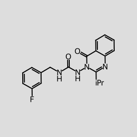 CC(C)c1nc2ccccc2c(=O)n1NC(=O)NCc1cccc(F)c1